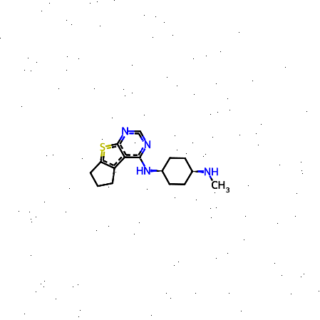 CN[C@H]1CC[C@@H](Nc2ncnc3sc4c(c23)CCC4)CC1